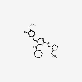 CCN1CCCC1CNC1=NCN(Cc2ccc(OC)c(F)c2)C(NC2CCCCCC2)=N1